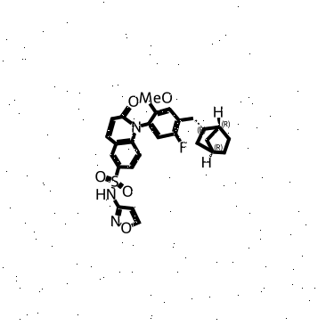 COc1cc(C[C@H]2C[C@@H]3CC[C@@H]2C3)c(F)cc1-n1c(=O)ccc2cc(S(=O)(=O)Nc3ccon3)ccc21